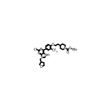 CC(C)(C)OC(=O)N1CCC(CCOc2ccc(-c3nc(Cl)nc4c3NCN4CC3CCOC3)cc2C(F)(F)F)CC1